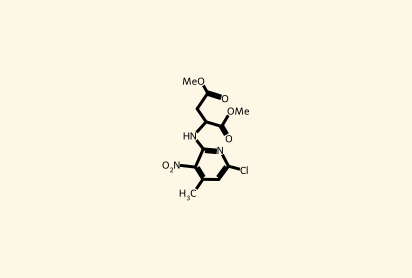 COC(=O)CC(Nc1nc(Cl)cc(C)c1[N+](=O)[O-])C(=O)OC